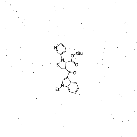 CCn1cc(C(=O)C2CSN(c3cccnc3)C2C(=O)OC(C)(C)C)c2ccccc21